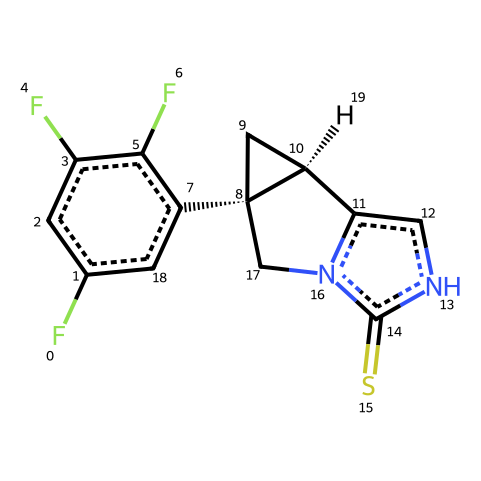 Fc1cc(F)c(F)c([C@]23C[C@H]2c2c[nH]c(=S)n2C3)c1